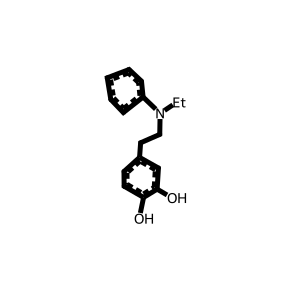 CCN(CCc1ccc(O)c(O)c1)c1ccccc1